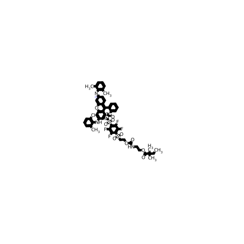 CCC(C)(C)C(=O)OCCNC(=O)OCCS(=O)(=O)c1c(F)c(F)c(S(=O)(=O)NS(=O)(=O)c2ccccc2-c2c3cc/c(=N\c4c(C)cccc4C)cc-3oc3cc(Nc4c(C)cccc4C)ccc23)c(F)c1F